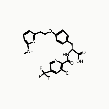 CNc1cccc(CCOc2ccc(C[C@H](NC(=O)c3ncc(C(F)(F)F)cc3Cl)C(=O)O)cc2)n1